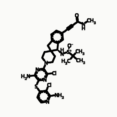 CNC(=O)C#Cc1ccc2c(c1)[C@@H](N[S@+]([O-])C(C)(C)C)C1(CCN(c3nc(N)c(Sc4ccnc(N)c4Cl)nc3Cl)CC1)C2